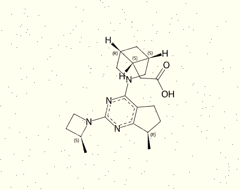 C[C@@H]1CCc2c1nc(N1CC[C@@H]1C)nc2N1C[C@H]2C[C@@H](C1)[C@H]2CC(=O)O